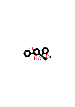 C#CC(O)(c1ccc2oc3ccccc3c2c1)c1ccccc1OC